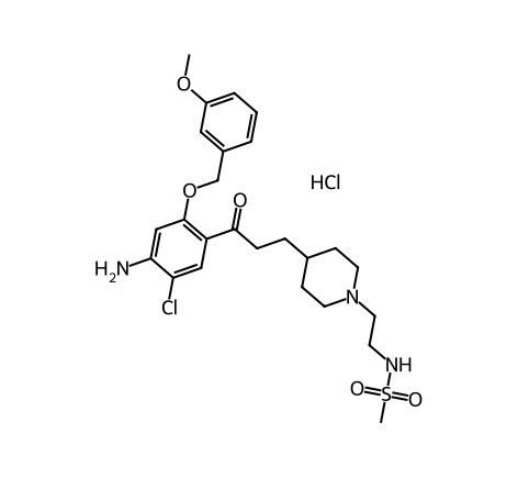 COc1cccc(COc2cc(N)c(Cl)cc2C(=O)CCC2CCN(CCNS(C)(=O)=O)CC2)c1.Cl